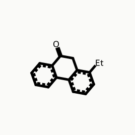 CCc1cccc2c1CC(=O)c1ccccc1-2